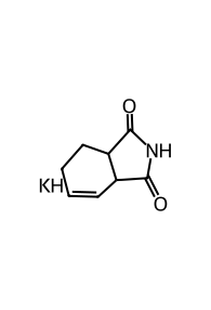 O=C1NC(=O)C2CCC=CC12.[KH]